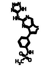 CS(=O)(=O)Nc1cccc(-c2csc3cnc(Nc4nnn[nH]4)nc23)c1